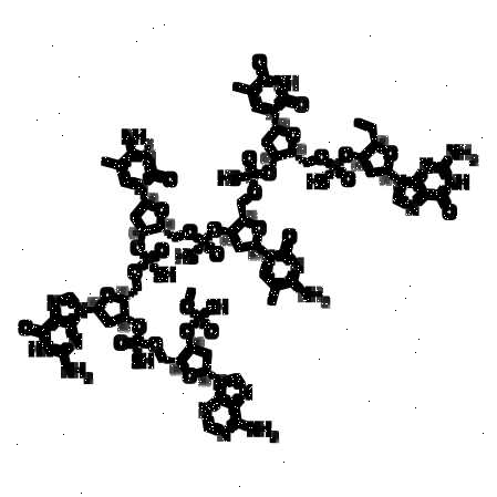 CC[C@H]1O[C@@H](n2cnc3c(=O)[nH]c(N)nc32)C[C@H]1OP(=O)(S)OC[C@H]1O[C@@H](n2cc(C)c(=O)[nH]c2=O)C[C@H]1OP(=O)(S)OC[C@H]1O[C@@H](n2cc(C)c(N)nc2=O)C[C@H]1OP(=O)(S)OC[C@H]1O[C@@H](n2cc(C)c(N)nc2=O)C[C@H]1OP(=O)(S)OC[C@H]1O[C@@H](n2cnc3c(=O)[nH]c(N)nc32)C[C@H]1OP(=O)(S)OC[C@H]1O[C@@H](n2cnc3c(N)ncnc32)C[C@H]1OP(=O)(S)OC